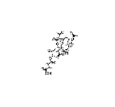 CC(=O)O[C@H]1C[C@H](OC(C)=O)[C@]2(C)[C@@H]1[C@H](C)C[C@@H]1OC(=O)[C@H](CN(C)COC(=O)CCC(=O)O)[C@H]1[C@@H]2OC(C)=O